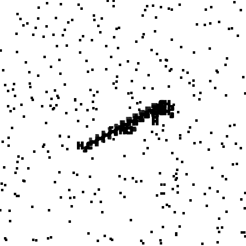 CCCCCCCCCCCCCCCCCCSCC(O)CN(C)C.Cl